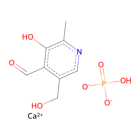 Cc1ncc(CO)c(C=O)c1O.O=P([O-])([O-])O.[Ca+2]